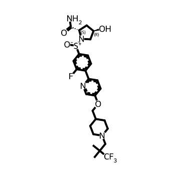 CC(C)(CN1CCC(COc2ccc(-c3ccc([S+]([O-])N4C[C@H](O)C[C@H]4C(N)=O)cc3F)nc2)CC1)C(F)(F)F